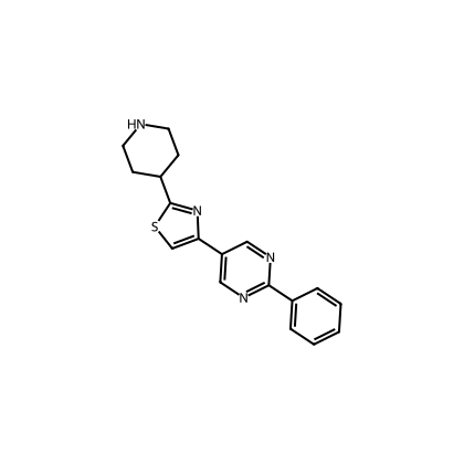 c1ccc(-c2ncc(-c3csc(C4CCNCC4)n3)cn2)cc1